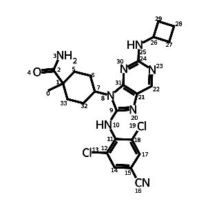 CC1(C(N)=O)CCC(n2c(Nc3c(Cl)cc(C#N)cc3Cl)nc3cnc(NC4CCC4)nc32)CC1